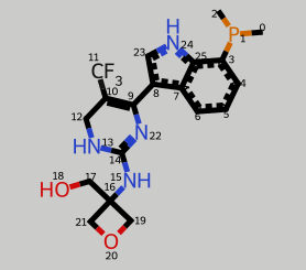 CP(C)c1cccc2c(C3=C(C(F)(F)F)CNC(NC4(CO)COC4)=N3)c[nH]c12